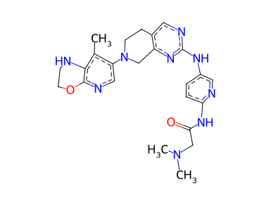 Cc1c(N2CCc3cnc(Nc4ccc(NC(=O)CN(C)C)nc4)nc3C2)cnc2c1NCCO2